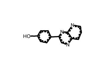 Oc1ccc(-c2cnc3cccnc3n2)cc1